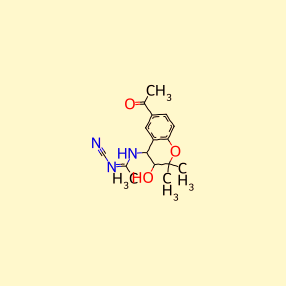 CC(=O)c1ccc2c(c1)C(N/C(C)=N\C#N)C(O)C(C)(C)O2